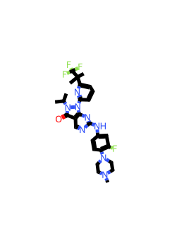 CC(C)n1c(=O)c2cnc(Nc3ccc(N4CCN(C)CC4)c(F)c3)nc2n1-c1cccc(C(C)(C)C(F)(F)F)n1